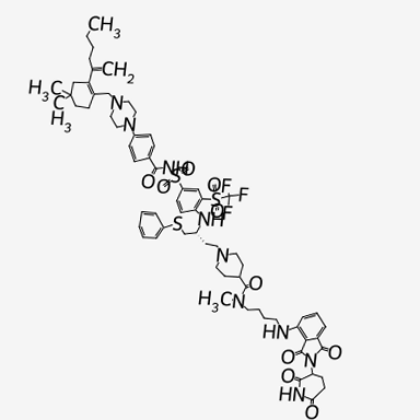 C=C(CCCC)C1=C(CN2CCN(c3ccc(C(=O)NS(=O)(=O)c4ccc(N[C@H](CCN5CCC(C(=O)N(C)CCCCNc6cccc7c6C(=O)N(C6CCC(=O)NC6=O)C7=O)CC5)CSc5ccccc5)c(S(=O)(=O)C(F)(F)F)c4)cc3)CC2)CCC(C)(C)C1